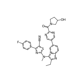 CCc1nc2ccc(-c3cnc(C(=O)N4CCC(O)C4)nc3)cn2c1N(C)c1nc(-c2ccc(F)cc2)c(C#N)s1